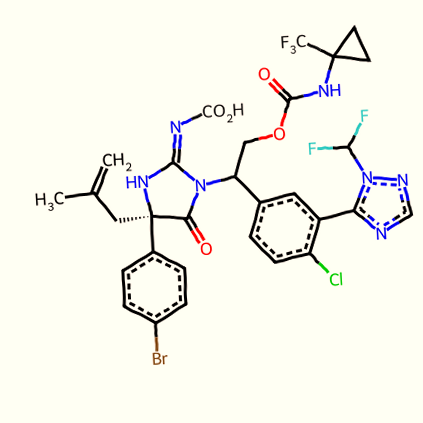 C=C(C)C[C@]1(c2ccc(Br)cc2)NC(=NC(=O)O)N(C(COC(=O)NC2(C(F)(F)F)CC2)c2ccc(Cl)c(-c3ncnn3C(F)F)c2)C1=O